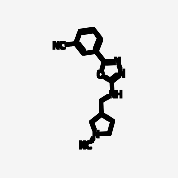 N#Cc1cccc(-c2nnc(NCC3CCN(C#N)C3)o2)c1